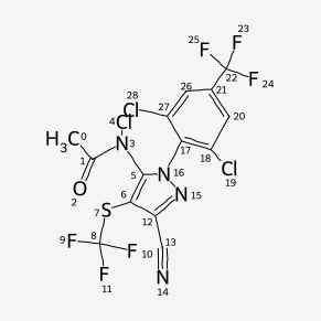 CC(=O)N(Cl)c1c(SC(F)(F)F)c(C#N)nn1-c1c(Cl)cc(C(F)(F)F)cc1Cl